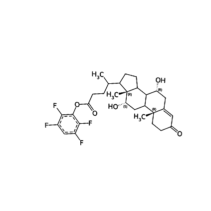 CC(CCC(=O)Oc1c(F)c(F)cc(F)c1F)C1CCC2C3C(C[C@H](O)[C@]12C)[C@@]1(C)CCC(=O)C=C1C[C@H]3O